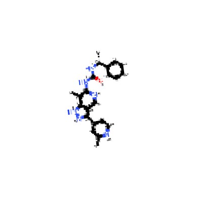 Cc1cc(-c2n[nH]c3c(C)c(NC(=O)N[C@H](C)c4ccccc4)ncc23)ccn1